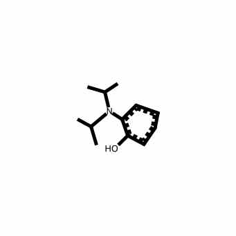 CC(C)N(c1ccccc1O)C(C)C